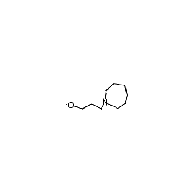 [O]CCCN1CCCCCC1